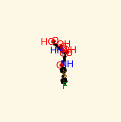 O=C(O)CCC[C@H](NC(=O)O[C@@H](CCCCNC(=O)c1ccc(SCc2ccc(F)cc2)cc1)C(=O)O)C(=O)O